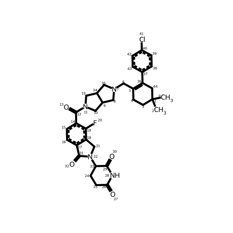 CC1(C)CCC(CN2CC3CN(C(=O)c4ccc5c(c4F)CN(C4CCC(=O)NC4=O)C5=O)CC3C2)=C(c2ccc(Cl)cc2)C1